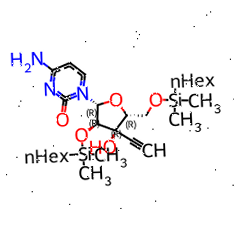 C#C[C@@]1(O)[C@@H](CO[Si](C)(C)CCCCCC)O[C@@H](n2ccc(N)nc2=O)[C@@H]1O[Si](C)(C)CCCCCC